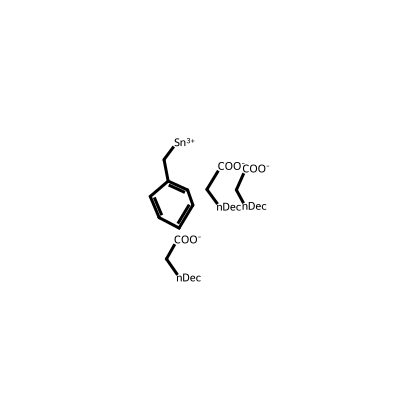 CCCCCCCCCCCC(=O)[O-].CCCCCCCCCCCC(=O)[O-].CCCCCCCCCCCC(=O)[O-].[Sn+3][CH2]c1ccccc1